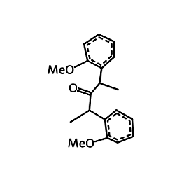 COc1ccccc1C(C)C(=O)C(C)c1ccccc1OC